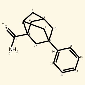 NC(=S)C12CC3CC1CC(c1ccccc1)(C3)C2